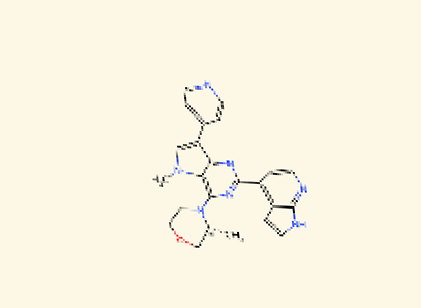 C[C@@H]1COCCN1c1nc(-c2ccnc3[nH]ccc23)nc2c(-c3ccncc3)cn(C)c12